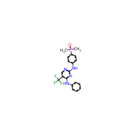 CP(C)(=O)c1ccc(Nc2ncc(C(F)(F)F)c(Nc3ccccc3)n2)cc1